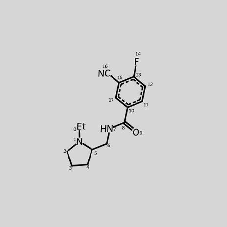 CCN1CCCC1CNC(=O)c1ccc(F)c(C#N)c1